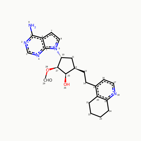 Nc1ncnc2c1ccn2[C@@H]1C[C@@H](CCc2ccnc3c2CCCC3)[C@@H](O)[C@H]1OC=O